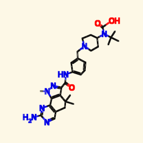 Cn1nc(C(=O)Nc2cccc(CN3CCC(N(C(=O)O)C(C)(C)C)CC3)c2)c2c1-c1nc(N)ncc1CC2(C)C